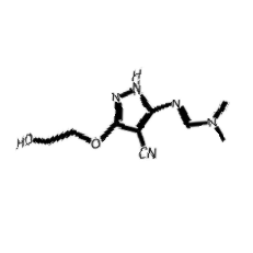 CN(C)C=Nc1[nH]nc(OCCO)c1C#N